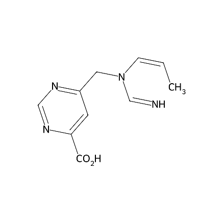 C/C=C\N(C=N)Cc1cc(C(=O)O)ncn1